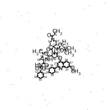 C=CC(=O)N1CCC(NC(=O)OC(C)(C)C)(C(=O)N2C[C@H](Oc3cc(-c4ccccc4)nc4cc(OC)ccc34)C[C@H]2C(=O)N[C@]2(C(=O)NS(=O)(=O)c3ccccc3)C[C@H]2C=C)CC1